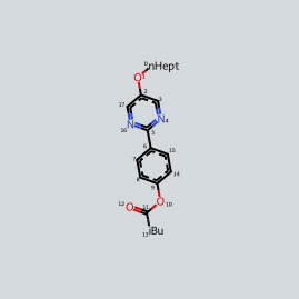 CCCCCCCOc1cnc(-c2ccc(OC(=O)C(C)CC)cc2)nc1